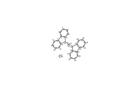 [Cl-].c1ccc2c(c1)-c1ccccc1[CH]2[Sc+][CH]1c2ccccc2-c2ccccc21